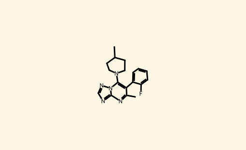 Cc1nc2ncnn2c(N2CCC(C)CC2)c1-c1ccccc1F